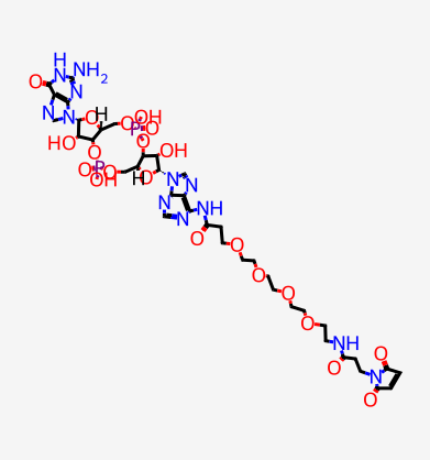 Nc1nc2c(ncn2[C@@H]2O[C@@H]3COP(=O)(O)OC4C(O)[C@H](n5cnc6c(NC(=O)CCOCCOCCOCCOCCNC(=O)CCN7C(=O)C=CC7=O)ncnc65)O[C@@H]4COP(=O)(O)OC3C2O)c(=O)[nH]1